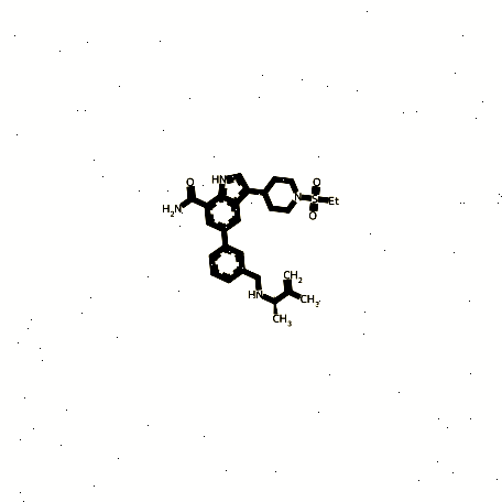 C=C(C)[C@@H](C)NCc1cccc(-c2cc(C(N)=O)c3[nH]cc(C4CCN(S(=O)(=O)CC)CC4)c3c2)c1